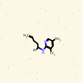 C=CCCC(Nc1ncc([N+](=O)[O-])cc1C(F)(F)F)C(C)C